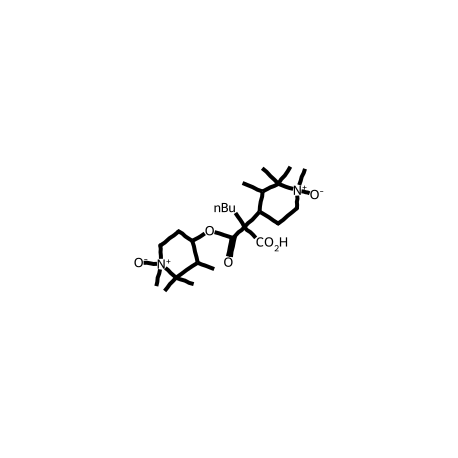 CCCCC(C(=O)O)(C(=O)OC1CC[N+](C)([O-])C(C)(C)C1C)C1CC[N+](C)([O-])C(C)(C)C1C